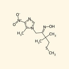 CSCC(C)(C)C(Cn1cnc([N+](=O)[O-])c1C)=NO